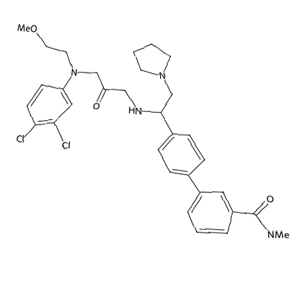 CNC(=O)c1cccc(-c2ccc(C(CN3CCCC3)NCC(=O)CN(CCOC)c3ccc(Cl)c(Cl)c3)cc2)c1